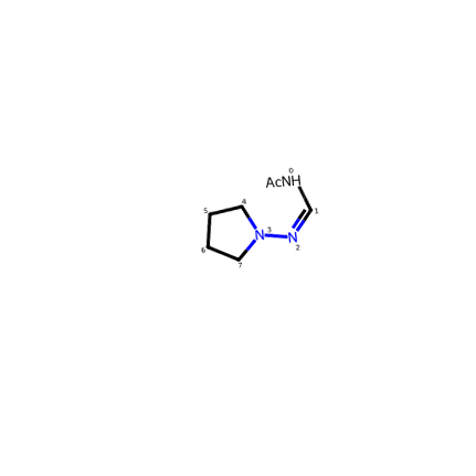 CC(=O)N/C=N\N1CCCC1